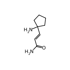 NC(=O)C=CC1(N)CCCC1